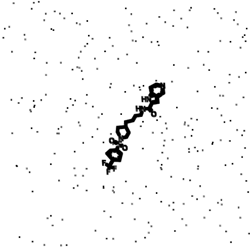 O=C(NCCCCC1CCN(S(=O)(=O)c2ccc(C(F)(F)F)cc2)CC1)c1cc2cnccc2[nH]1